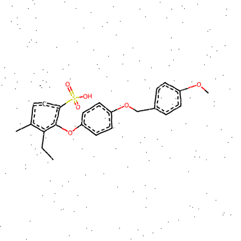 CCc1c(C)ccc(S(=O)(=O)O)c1Oc1ccc(OCc2ccc(OC)cc2)cc1